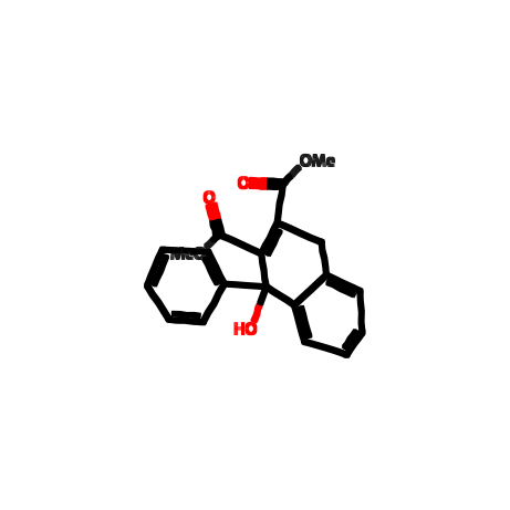 COC(=O)C1=C(C(=O)OC)C(O)(c2ccccc2)c2ccccc2C1